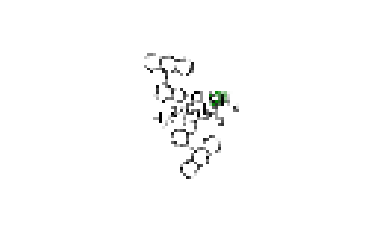 CC1=Cc2c(-c3c4ccccc4cc4ccccc34)cccc2[CH]1[Zr+2]([CH3])([CH3])[CH]1C(C)=Cc2c(-c3c4ccccc4cc4ccccc34)cccc21.[Cl-].[Cl-].[SiH4]